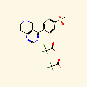 CS(=O)(=O)c1ccc(-c2ncnc3c2CNCC3)cc1.O=C(O)C(F)(F)F.O=C(O)C(F)(F)F